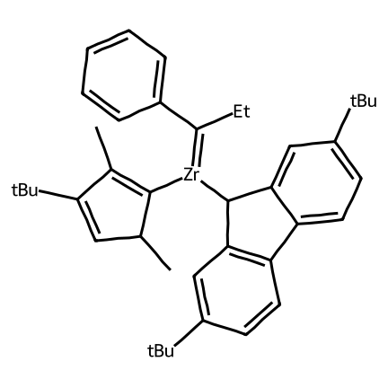 CC[C](c1ccccc1)=[Zr]([C]1=C(C)C(C(C)(C)C)=CC1C)[CH]1c2cc(C(C)(C)C)ccc2-c2ccc(C(C)(C)C)cc21